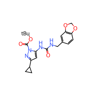 CC(C)(C)OC(=O)n1nc(C2CC2)cc1NC(=O)NCc1ccc2c(c1)OCO2